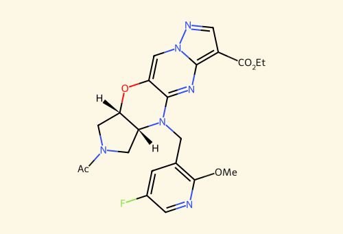 CCOC(=O)c1cnn2cc3c(nc12)N(Cc1cc(F)cnc1OC)[C@@H]1CN(C(C)=O)C[C@@H]1O3